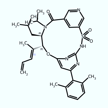 C=C/C=C(\C)[C@H]1Oc2cc(-c3c(C)cccc3C)nc(n2)NS(=O)(=O)c2cncc(c2)C(=O)N(C(C)C)[C@@H]1CC(C)C